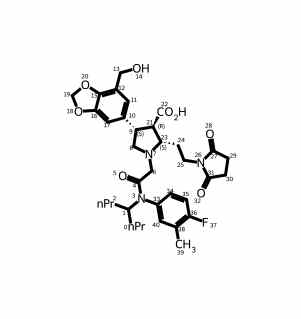 CCCC(CCC)N(C(=O)CN1C[C@H](c2cc(CO)c3c(c2)OCO3)[C@@H](C(=O)O)[C@@H]1CCN1C(=O)CCC1=O)c1ccc(F)c(C)c1